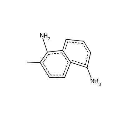 Cc1ccc2c(N)cccc2c1N